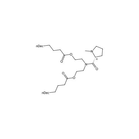 CCCCCCCCCCCCCC(=O)OCCN(CCOC(=O)CCCCCCCCCCCCC)C(=O)[C@H]1CCCN1C